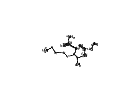 CC(NC(=O)OC(C)(C)C)C(CCCCN)OC(N)=O